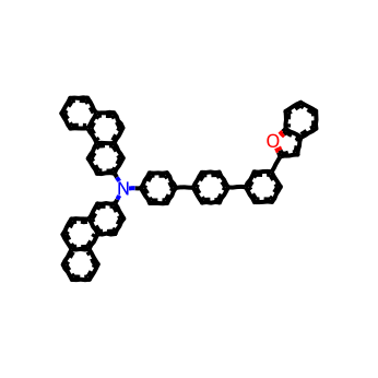 c1cc(-c2ccc(-c3ccc(N(c4ccc5c(ccc6ccccc65)c4)c4ccc5c(ccc6ccccc65)c4)cc3)cc2)cc(-c2cc3ccccc3o2)c1